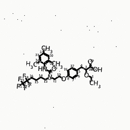 CCOC(Cc1ccc(OCCN(CCCCC(F)(F)C(F)(F)F)C(=O)Nc2c(C)cc(C)cc2C)cc1)C(=O)O